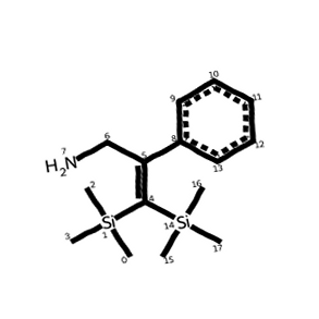 C[Si](C)(C)C(=C(CN)c1ccccc1)[Si](C)(C)C